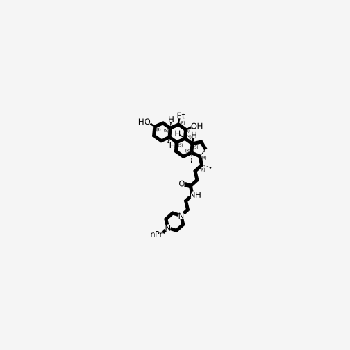 CCCN1CCN(CCNC(=O)CC[C@@H](C)[C@H]2CC[C@H]3[C@@H]4[C@H](O)[C@H](CC)[C@@H]5C[C@H](O)CC[C@]5(C)[C@H]4CC[C@]23C)CC1